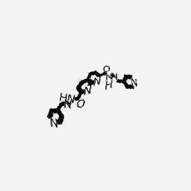 O=C(N/N=C/c1ccncc1)c1ccc2ccc(C(=O)N/N=C/c3ccncc3)nc2n1